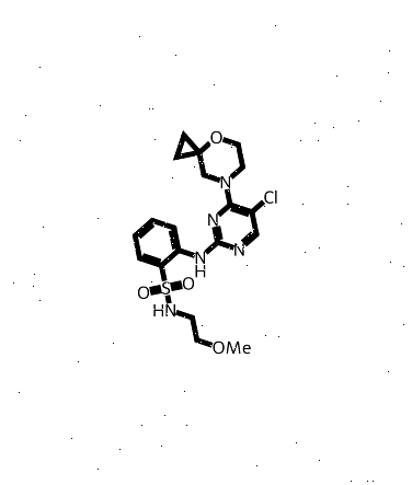 COCCNS(=O)(=O)c1ccccc1Nc1ncc(Cl)c(N2CCOC3(CC3)C2)n1